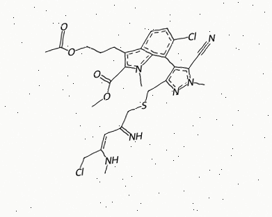 CN/C(=C\C(=N)CSCc1nn(C)c(C#N)c1-c1c(Cl)ccc2c(CCCOC(C)=O)c(C(=O)OC)n(C)c12)CCl